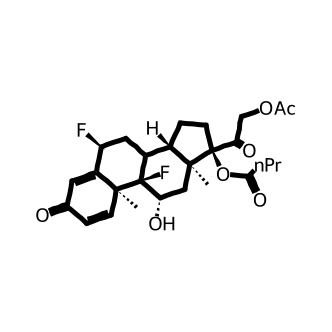 CCCC(=O)O[C@]1(C(=O)COC(C)=O)CC[C@H]2C3C[C@H](F)C4=CC(=O)C=C[C@]4(C)[C@@]3(F)[C@@H](O)C[C@@]21C